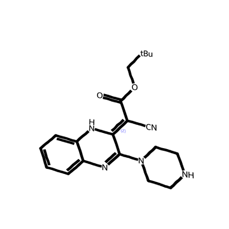 CC(C)(C)COC(=O)/C(C#N)=C1\Nc2ccccc2N=C1N1CCNCC1